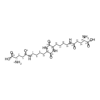 N[C@@H](CCC(=O)NCCCCC1NC(=O)C(CCCCNC(=O)CC[C@H](N)C(=O)O)NC1=O)C(=O)O